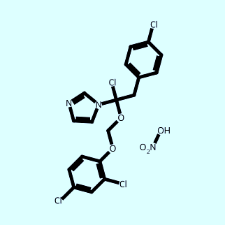 Clc1ccc(CC(Cl)(OCOc2ccc(Cl)cc2Cl)n2ccnc2)cc1.O=[N+]([O-])O